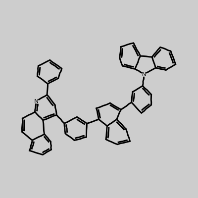 c1ccc(-c2cc(-c3cccc(-c4ccc(-c5cccc(-n6c7ccccc7c7ccccc76)c5)c5ccccc45)c3)c3c(ccc4ccccc43)n2)cc1